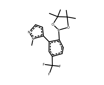 Cn1nccc1-c1cc(C(F)(F)F)ccc1B1OC(C)(C)C(C)(C)O1